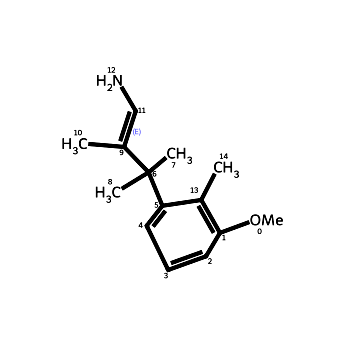 COc1cccc(C(C)(C)/C(C)=C/N)c1C